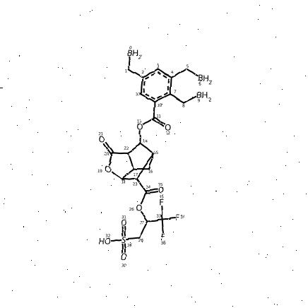 BCc1cc(CB)c(CB)c(C(=O)OC2C3CC4C(OC(=O)C42)C3C(=O)OC(CS(=O)(=O)O)C(F)(F)F)c1